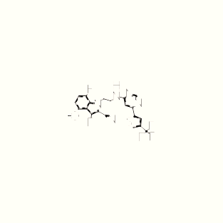 COc1ccc(F)c2c1c(F)c(C#N)n2CCNc1cc(-c2cc(C(F)(F)F)cs2)ncn1